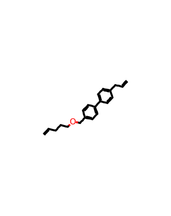 C=CCCCOCc1ccc(-c2ccc(CC=C)cc2)cc1